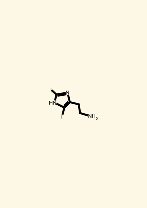 NCCc1nc(I)[nH]c1I